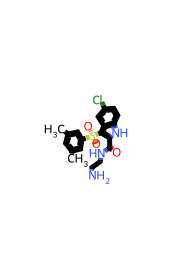 Cc1cc(C)cc(S(=O)(=O)c2c(C(=O)NCCN)[nH]c3ccc(Cl)cc23)c1